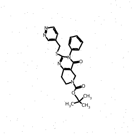 CC(C)(C)OC(=O)N1CCc2nc(SCc3ccnnc3)n(-c3ccccc3)c(=O)c2C1